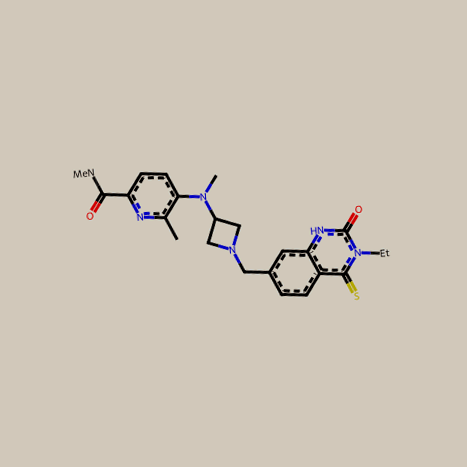 CCn1c(=O)[nH]c2cc(CN3CC(N(C)c4ccc(C(=O)NC)nc4C)C3)ccc2c1=S